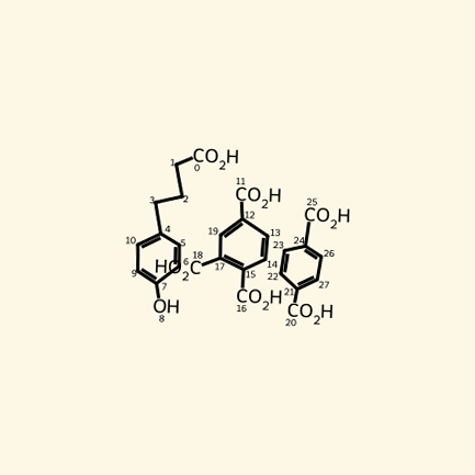 O=C(O)CCCc1ccc(O)cc1.O=C(O)c1ccc(C(=O)O)c(C(=O)O)c1.O=C(O)c1ccc(C(=O)O)cc1